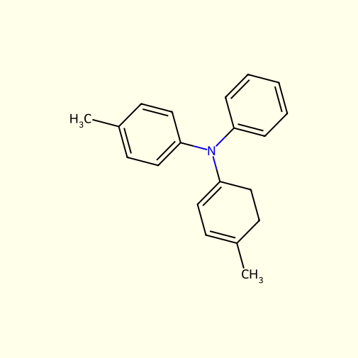 CC1=CC=C(N(c2ccccc2)c2ccc(C)cc2)CC1